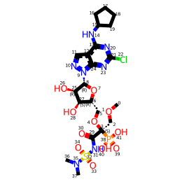 COC[C@@](OC[C@H]1O[C@@H](n2ncc3c(NC4CCCC4)nc(Cl)nc32)[C@H](O)[C@@H]1O)(C(=O)NS(=O)(=O)N(C)C)P(=O)(O)O